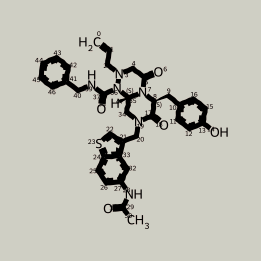 C=CCN1CC(=O)N2[C@@H](Cc3ccc(O)cc3)C(=O)N(Cc3csc4ccc(NC(C)=O)cc34)C[C@@H]2N1C(=O)NCc1ccccc1